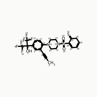 CC#Cc1cc(C(O)(C(F)(F)F)C(F)(F)F)ccc1N1CCN(S(=O)(=O)C2=CC=CCC2=S)CC1